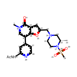 CC(=O)Nc1cc(-c2cn(C)c(=O)c3cc(CN4CCN(S(C)(=O)=O)[C@@H](C)C4)oc23)ccn1